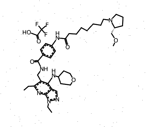 CCc1nc2c(cnn2CC)c(NC2CCOCC2)c1CNC(=O)c1ccc(NC(=O)CCCCCCCN2CCC[C@@H]2COC)cc1.O=C(O)C(F)(F)F